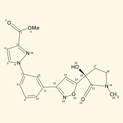 COC(=O)c1ccn(-c2cccc(-c3cc([C@]4(O)CCN(C)C4=O)on3)c2)n1